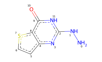 NNc1nc2ccsc2c(=O)[nH]1